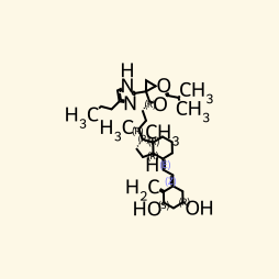 C=C1/C(=C\C=C2/CCC[C@]3(C)[C@@H]([C@H](C)CC[C@@H](OC(=O)C(C)C)C4(c5nc(CCC)c[nH]5)CC4)CC[C@@H]23)C[C@@H](O)C[C@@H]1O